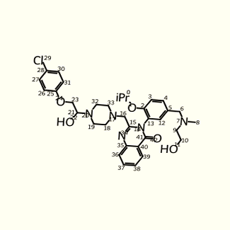 CC(C)Oc1ccc(CN(C)CCO)cc1-n1c(CN2CCN(C(O)COc3ccc(Cl)cc3)CC2)nc2ccccc2c1=O